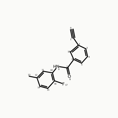 C#Cc1cccc(C(=O)Nc2cc(C)ccc2F)c1